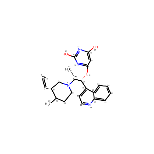 C=C[C@@H]1CN([C@H](C)[C@H](Oc2cc(O)nc(O)n2)c2ccnc3ccccc23)CCC1C